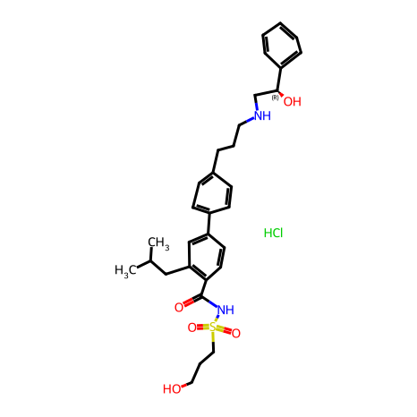 CC(C)Cc1cc(-c2ccc(CCCNC[C@H](O)c3ccccc3)cc2)ccc1C(=O)NS(=O)(=O)CCCO.Cl